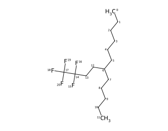 CCCCCCC(CCCCC)CCC(F)(F)C(F)(F)F